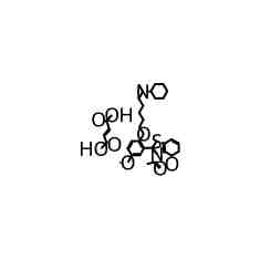 COc1ccc(OCCCCCN(C)C2CCCCC2)c(C2SC3=C(C(=O)CC=C3)N2C(C)=O)c1.O=C(O)/C=C/C(=O)O